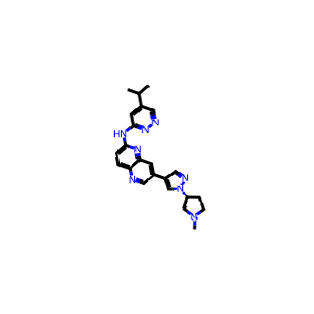 CC(C)c1cnnc(Nc2ccc3ncc(-c4cnn([C@H]5CCN(C)C5)c4)cc3n2)c1